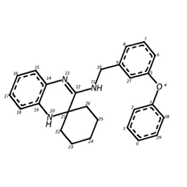 c1ccc(Oc2cccc(CNC3=Nc4ccccc4NC34CCCCC4)c2)cc1